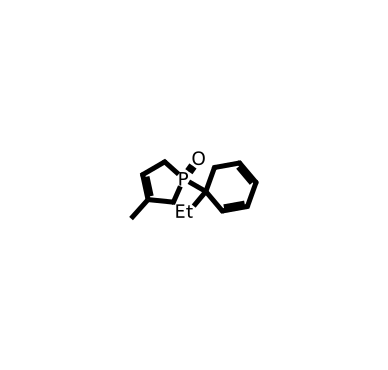 CCC1(P2(=O)CC=C(C)C2)C=CC=CC1